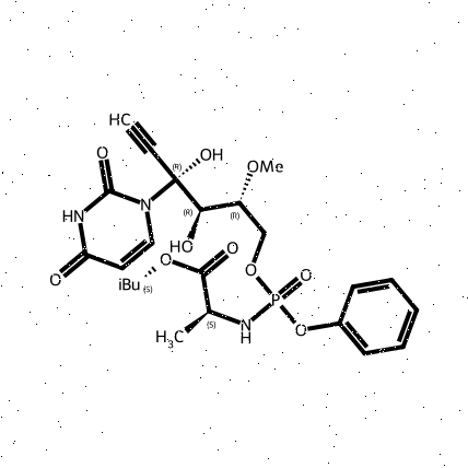 C#C[C@@](O)([C@H](O)[C@@H](COP(=O)(N[C@@H](C)C(=O)O[C@@H](C)CC)Oc1ccccc1)OC)n1ccc(=O)[nH]c1=O